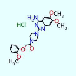 COc1cc2nc(N3CCN(C(=O)COc4ccccc4OC)CC3)nc(N)c2cc1OC.Cl